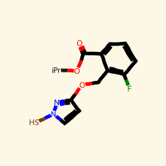 CC(C)OC(=O)c1cccc(F)c1COc1ccn(S)n1